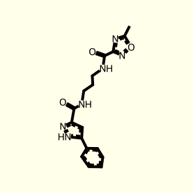 Cc1nc(C(=O)NCCCNC(=O)c2cc(-c3ccccc3)[nH]n2)no1